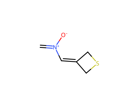 C=[N+]([O-])C=C1CSC1